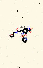 COc1c(/C=C/C(=O)NCc2ccco2)c(NS(=O)(=O)c2ccccn2)cc2c1NC(=O)C2=O